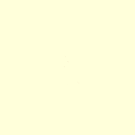 CC(C)Cc1cn(-c2ccc(F)c([N+](=O)[O-])c2)nn1